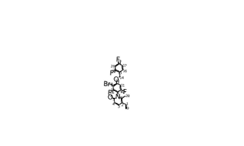 C=Cc1ccc(=O)n(-c2c(F)cc(OCc3ccc(F)cc3F)c(Br)c2F)c1C